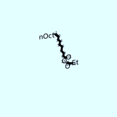 CCCCCCCC/C=C\CCCCCCCC(=O)OC1OC1CC